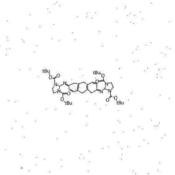 CC(C)(C)OC(=O)N1CCN(C(=O)OC(C)(C)C)C1/N=C1\C=CC2=C(CC3=C(C2)C/C(=N/C2N(C(=O)OC(C)(C)C)CCN2C(=O)OC(C)(C)C)C=C3)C1